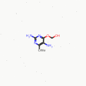 COc1nc(N)nc(OCO)c1N